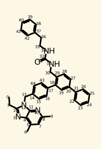 CCc1nc2c(C)cc(C)nc2n1Cc1ccc(-c2cc(-c3ccccc3)ccc2CNC(=O)NCCc2ccccc2)cc1